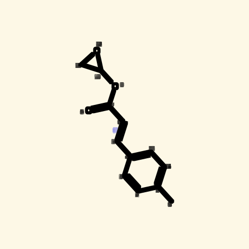 Cc1ccc(/C=C/C(=O)OC2CO2)cc1